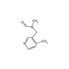 Cc1ccncc1CN(C)C=O